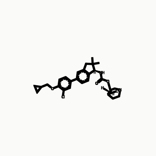 CC1(C)Cc2cc(-c3ccc(OCC4CC4)c(Cl)c3)ccc2[C@@H]1NC(=O)O[C@@H]1CN2CCC1CC2